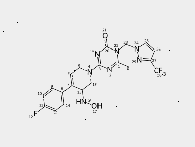 Cc1nc(N2CC=C(c3ccc(F)cc3)C(NO)C2)nc(=O)n1Cn1ccc(C(F)(F)F)n1